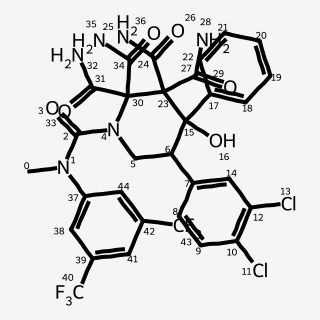 CN(C(=O)N1CC(c2ccc(Cl)c(Cl)c2)C(O)(c2ccccc2)C(C(N)=O)(C(N)=O)C1(C(N)=O)C(N)=O)c1cc(C(F)(F)F)cc(C(F)(F)F)c1